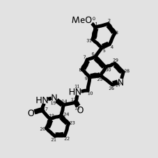 COc1cccc(-c2ccc(CNC(=O)c3n[nH]c(=O)c4ccccc34)c3cnccc23)c1